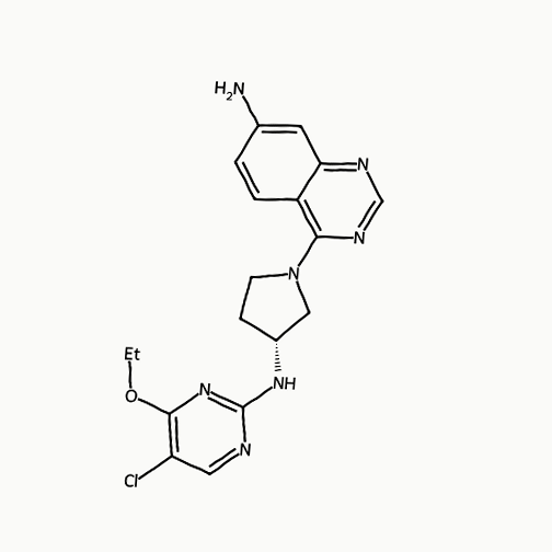 CCOc1nc(N[C@@H]2CCN(c3ncnc4cc(N)ccc34)C2)ncc1Cl